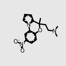 CN(C)CCC1(C)Oc2ccc([N+](=O)[O-])cc2-n2cccc21